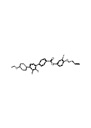 C=CCCOc1ccc(OC(=O)c2ccc(-c3ccc(C4CCC(OCC)CC4)c(F)c3F)cc2)cc1F